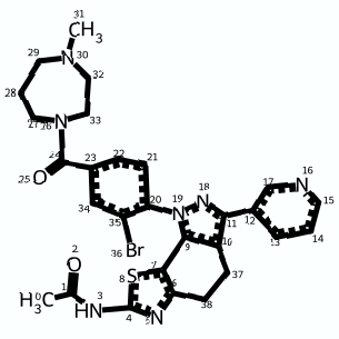 CC(=O)Nc1nc2c(s1)-c1c(c(-c3cccnc3)nn1-c1ccc(C(=O)N3CCCN(C)CC3)cc1Br)CC2